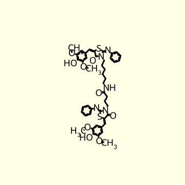 COc1cc(C=C2SC(=Nc3ccccc3)N(CCCCCCNC(=O)CCCN3C(=O)C(=Cc4cc(OC)c(O)c(OC)c4)SC3=Nc3ccccc3)C2=O)cc(OC)c1O